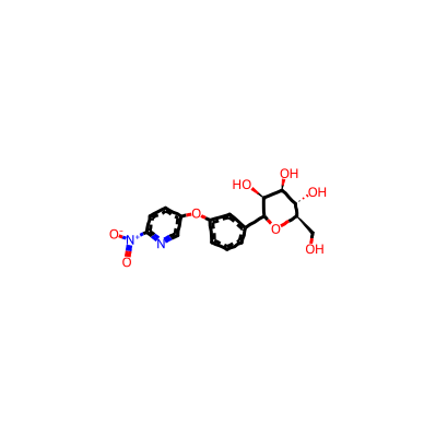 O=[N+]([O-])c1ccc(Oc2cccc(C3O[C@H](CO)[C@@H](O)[C@H](O)[C@@H]3O)c2)cn1